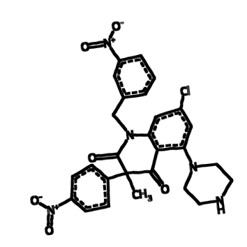 CC1(c2ccc([N+](=O)[O-])cc2)C(=O)c2c(N3CCNCC3)cc(Cl)cc2N(Cc2cccc([N+](=O)[O-])c2)C1=O